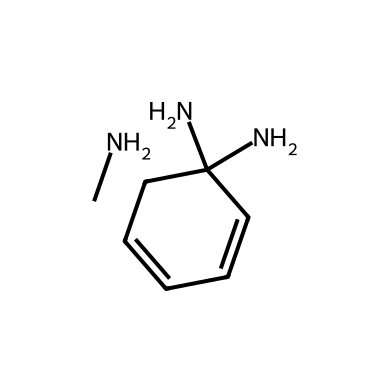 CN.NC1(N)C=CC=CC1